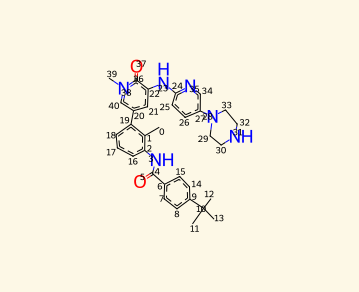 Cc1c(NC(=O)c2ccc(C(C)(C)C)cc2)cccc1-c1cc(Nc2ccc(N3CCNCC3)cn2)c(=O)n(C)c1